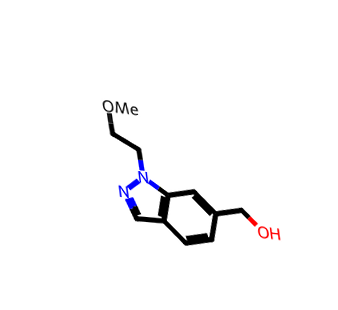 COCCn1ncc2ccc(CO)cc21